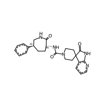 O=C1NC[C@H](c2ccccc2)CC[C@H]1NC(=O)N1CCC2(CC1)C(=O)Nc1ncccc12